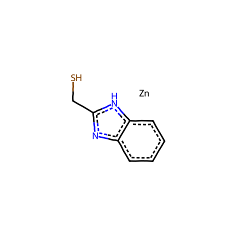 SCc1nc2ccccc2[nH]1.[Zn]